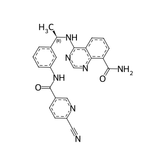 C[C@@H](Nc1ncnc2c(C(N)=O)cccc12)c1cccc(NC(=O)c2ccc(C#N)nc2)c1